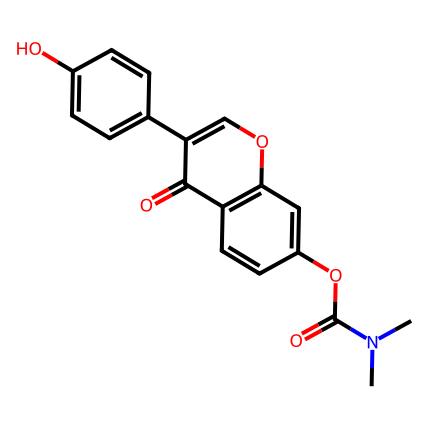 CN(C)C(=O)Oc1ccc2c(=O)c(-c3ccc(O)cc3)coc2c1